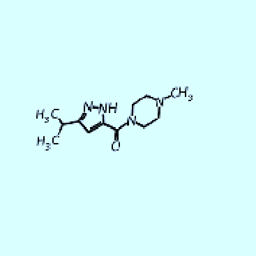 CC(C)c1cc(C(=O)N2CCN(C)CC2)[nH]n1